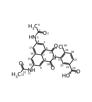 CC(=O)Nc1cc2c3c(cc(NC(C)=O)cc3c1)C(=O)N(c1cc(C(=O)O)ccc1Cl)C2=O